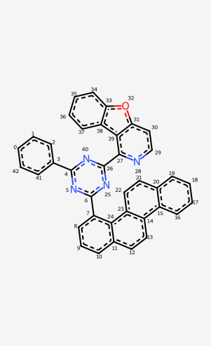 c1ccc(-c2nc(-c3cccc4ccc5c6ccccc6ccc5c34)nc(-c3nccc4oc5ccccc5c34)n2)cc1